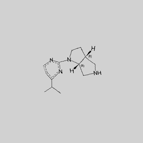 CC(C)c1ccnc(N2CC[C@@H]3CNC[C@@H]32)n1